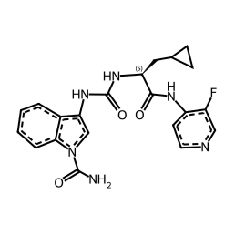 NC(=O)n1cc(NC(=O)N[C@@H](CC2CC2)C(=O)Nc2ccncc2F)c2ccccc21